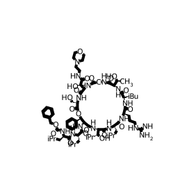 CC[C@H](C)[C@@H]1NC(=O)[C@@H](CCCNC(=N)N)NC(=O)[C@H](CC(C)C)NC(=O)[C@H]([C@H](O)C(C)C)NC(=O)[C@@H](NC(=O)[C@H](CC(C)C)NC(=O)[C@@H](CC(C)C)NC(=O)OCc2ccccc2)[C@@H](c2ccccc2)OC(=O)[C@H](CO)NC(=O)[C@H]([C@H](O)C(=O)NCCN2CCOCC2)NC(=O)CNC(=O)[C@H]([C@H](C)O)NC1=O